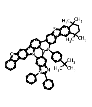 CC(C)(C)c1ccc(N2B3c4cc5nc(-c6ccccc6)n(-c6ccccc6)c5cc4-n4c5cc6c(cc5c5ccc(c3c54)-c3cc4sc5cc7c(cc5c4cc32)C(C)(C)CCC7(C)C)oc2ccccc26)cc1